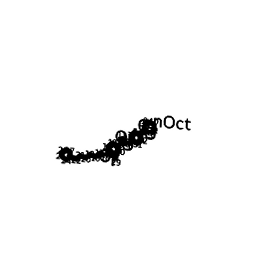 CCCCCCCCC1COC(c2ccc(OC(=O)c3ccc(OCCCCCCC4CCCC4)c(F)c3)cc2)OC1